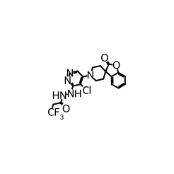 O=C(CC(F)(F)F)NNc1nncc(N2CCC3(CC2)C(=O)Oc2ccccc23)c1Cl